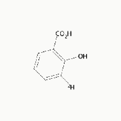 [2H]c1cccc(C(=O)O)c1O